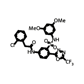 COc1cc(NS(=O)(=O)c2cc(NC(=O)Cc3ccccc3Cl)ccc2-c2nnc(C(F)(F)F)o2)cc(OC)c1